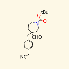 CC(C)(C)OC(=O)N1CCCC(C=O)(Cc2ccc(CC#N)cc2)CC1